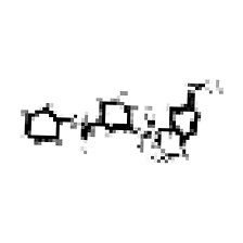 COc1ccc(OC)c(S(=O)(=O)Nc2cncc(C(=O)Nc3ccccc3)c2)c1